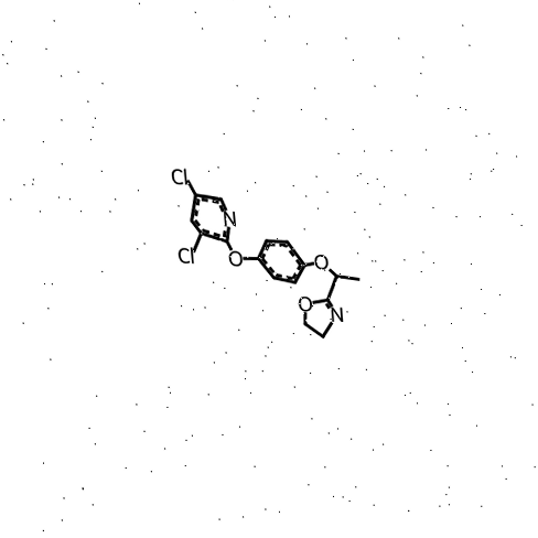 CC(Oc1ccc(Oc2ncc(Cl)cc2Cl)cc1)C1=NCCO1